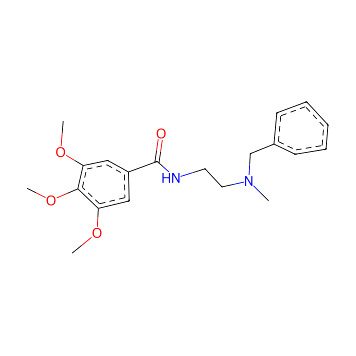 COc1cc(C(=O)NCCN(C)Cc2ccccc2)cc(OC)c1OC